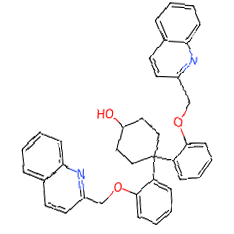 OC1CCC(c2ccccc2OCc2ccc3ccccc3n2)(c2ccccc2OCc2ccc3ccccc3n2)CC1